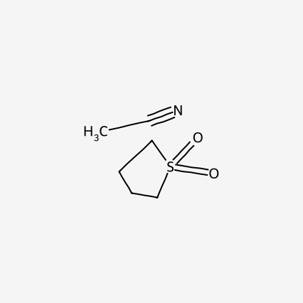 CC#N.O=S1(=O)CCCC1